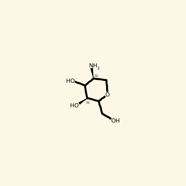 N[C@H]1COC(CO)[C@@H](O)C1O